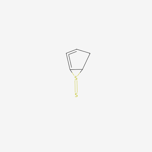 S=S1C2=C=CCC21